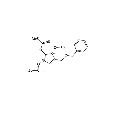 CSC(=S)OC1[C@@H](O[Si](C)(C)C(C)(C)C)C=C(COCc2ccccc2)[C@H]1OC(C)(C)C